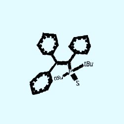 CC(C)(C)P(=S)(C(=C(c1ccccc1)c1ccccc1)c1ccccc1)C(C)(C)C